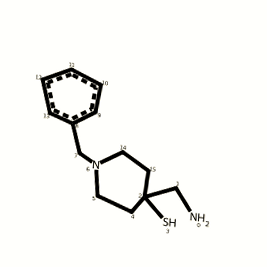 NCC1(S)CCN(Cc2ccccc2)CC1